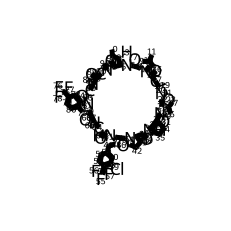 CC[C@H](C)[C@@H]1NC(=O)[C@H](CC(C)C)N(C)C(=O)C[C@@H](C)N(C)C(=O)[C@H](C(C)C)N(C)C(=O)C2(CCCC2)NC(=O)[C@@H]2CCCN2C(=O)[C@H](CCc2ccc(C(F)(F)F)c(Cl)c2)NC(=O)CN(C)C(=O)[C@H](Cc2ccc(C(F)(F)F)cc2)N(C)C(=O)CN(C)C(=O)CN(C)C1=O